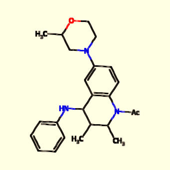 CC(=O)N1c2ccc(N3CCOC(C)C3)cc2C(Nc2ccccc2)C(C)C1C